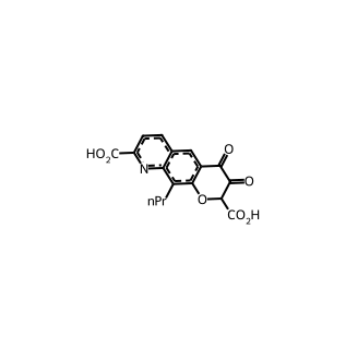 CCCc1c2c(cc3ccc(C(=O)O)nc13)C(=O)C(=O)C(C(=O)O)O2